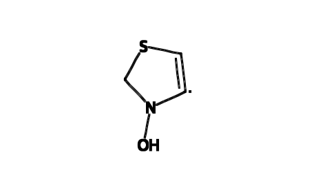 ON1[C]=CSC1